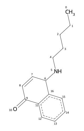 CCCCCNC1C=CC(=O)c2ccccc21